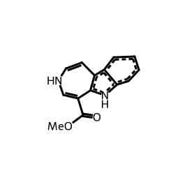 COC(=O)C1=CNC=Cc2c1[nH]c1ccccc21